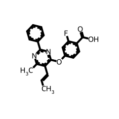 CC=Cc1c(C)nc(-c2ccccc2)nc1Oc1ccc(C(=O)O)c(F)c1